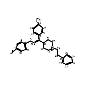 Fc1ccc(CN=C(c2ccc(F)cc2)C2CCN(CCc3ccccc3)CC2)cc1